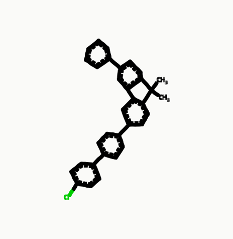 CC1(C)c2ccc(-c3ccccc3)cc2-c2cc(-c3ccc(-c4ccc(Cl)cc4)cc3)ccc21